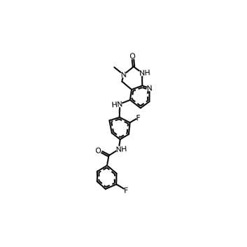 CN1Cc2c(Nc3ccc(NC(=O)c4cccc(F)c4)cc3F)ccnc2NC1=O